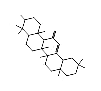 CC1(C)CCC2(C(=O)O)CCC3(C)C(=CC(=O)C4C5(C)CCC(O)C(C)(C)C5CCC43C)C2C1